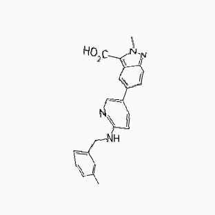 Cc1cccc(CNc2ccc(-c3ccc4nn(C)c(C(=O)O)c4c3)cn2)c1